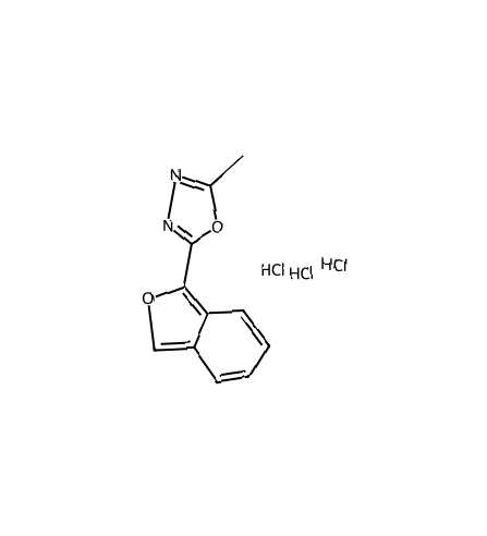 Cc1nnc(-c2occ3ccccc23)o1.Cl.Cl.Cl